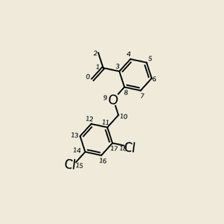 C=C(C)c1ccccc1OCc1ccc(Cl)cc1Cl